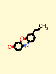 C=CCc1ccc2nc3ccc(=O)cc-3oc2c1